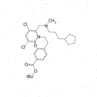 CN(CCCC1CCCC1)Cc1c(Cl)cc(Cl)c(=O)n1CCc1ccc(C(=O)OC(C)(C)C)cc1